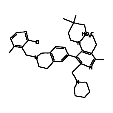 Cc1cccc(Cl)c1CN1CCc2cc(-c3c(CN4CCCCC4)nc(C)c(CC(=O)O)c3N3CCC(C)(C)CC3)ccc2C1